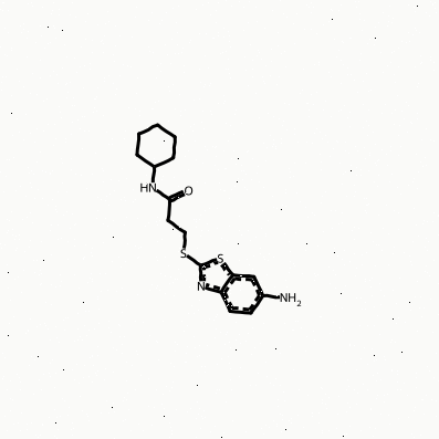 Nc1ccc2nc(SCCC(=O)NC3CCCCC3)sc2c1